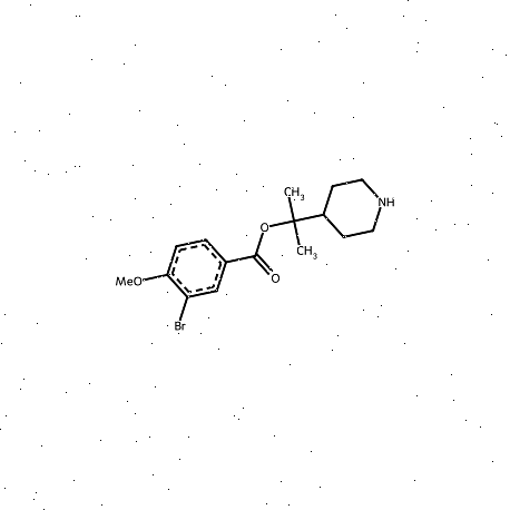 COc1ccc(C(=O)OC(C)(C)C2CCNCC2)cc1Br